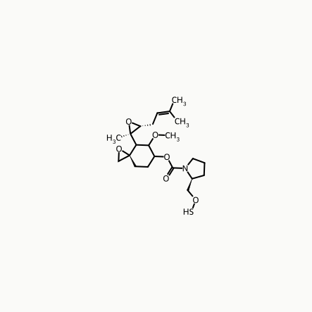 COC1C(OC(=O)N2CCC[C@H]2COS)CC[C@]2(CO2)C1[C@@]1(C)O[C@@H]1CC=C(C)C